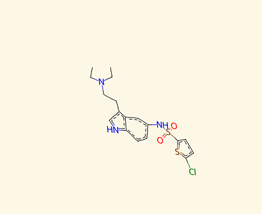 CCN(CC)CCc1c[nH]c2ccc(NS(=O)(=O)c3ccc(Cl)s3)cc12